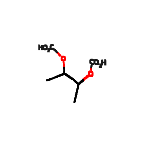 CC(OC(=O)O)C(C)OC(=O)O